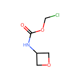 O=C(NC1COC1)OCCl